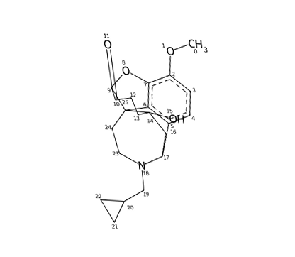 COc1ccc2c3c1OC1C(=O)CCC4(O)CC2N(CC2CC2)CCC314